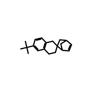 CC(C)(C)c1ccc2c(c1)CCC1(C2)CC2C=CC1C2